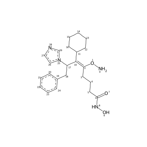 NOC(CCCC(=O)NO)=C(C1CCCCC1)C(Cc1ccccc1)n1ccnc1